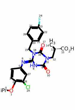 CC(C)Oc1ccc(/N=c2\[nH]c(=O)n(C[C@H](C)C(=O)O)c(=O)n2Cc2ccc(F)cc2)cc1Cl